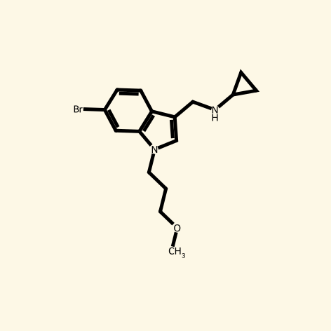 COCCCn1cc(CNC2CC2)c2ccc(Br)cc21